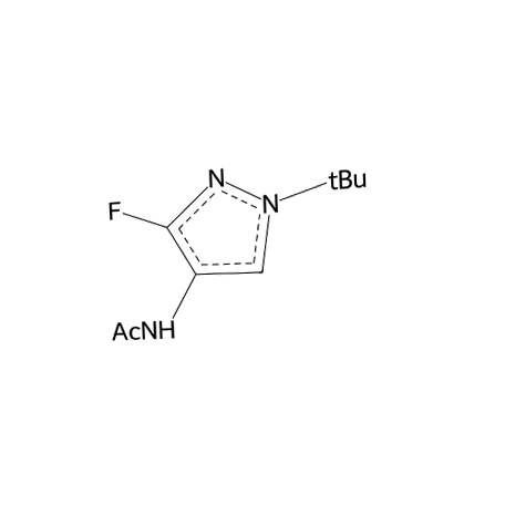 CC(=O)Nc1cn(C(C)(C)C)nc1F